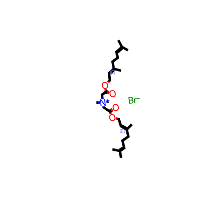 CC(C)=CCC/C(C)=C/COC(=O)C[N+](C)(C)CC(=O)OC/C=C(\C)CCC=C(C)C.[Br-]